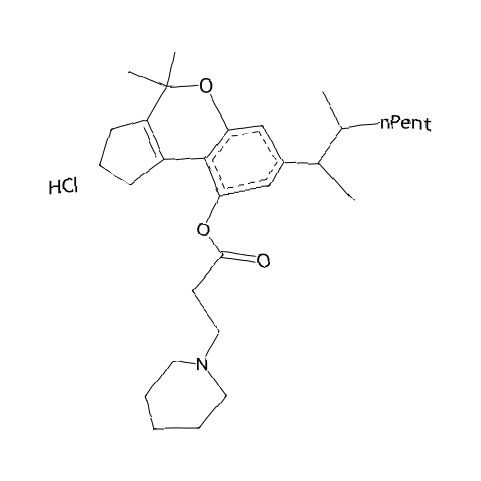 CCCCCC(C)C(C)c1cc(OC(=O)CCN2CCCCC2)c2c(c1)OC(C)(C)C1=C2CCC1.Cl